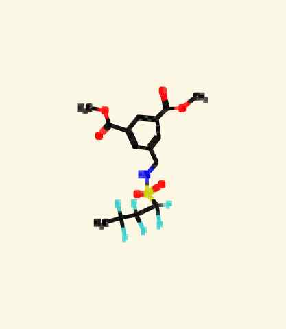 COC(=O)c1cc(CNS(=O)(=O)C(F)(F)C(F)(F)C(C)(F)F)cc(C(=O)OC)c1